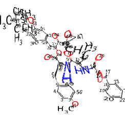 COc1ccc(C[C@H](NC(=O)[C@@H](C)NC(=O)OCc2ccccc2)C(=O)O[C@@H](Cc2ccc(O[Si](C)(C)C(C)(C)C)cc2)C(=O)[C@@]2(C)CO2)cc1